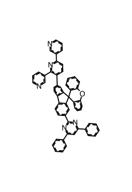 c1ccc(-c2cc(-c3ccccc3)nc(-c3ccc4c(c3)C3(c5ccccc5Oc5ccccc53)c3cc(-c5ccc(-c6cccnc6)nc5-c5cccnc5)ccc3-4)n2)cc1